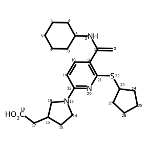 C=C(NC1CCCCC1)c1ccc(N2CCC(CC(=O)O)C2)nc1SC1CCCC1